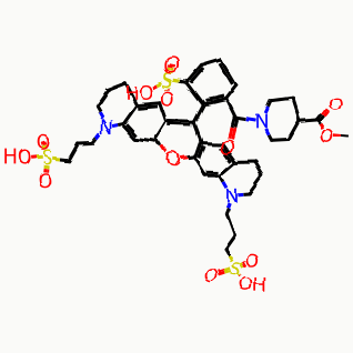 COC(=O)C1CCN(C(=O)c2cccc(S(=O)(=O)O)c2C2=C3C=C4CCCN(CCCS(=O)(=O)O)C4=CC3Oc3cc4c(cc32)CCCN4CCCS(=O)(=O)O)CC1